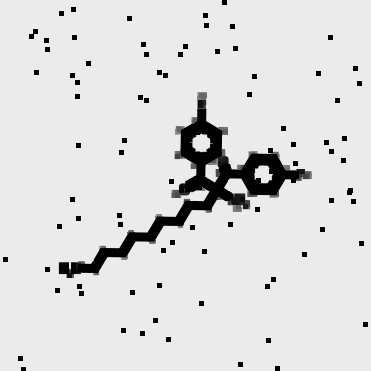 NCCCCCCCCCC(N)(C(=O)c1ccc(F)cc1)C(=O)c1ccc(F)cc1